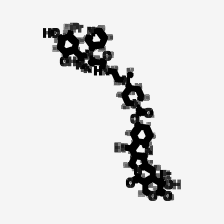 CCc1c2c(nc3ccc(OC(=O)N4CCC(N(C)CCNC(=O)c5nnc(-c6cc(C(C)C)c(O)cc6O)n5-c5cccnc5)CC4)cc13)-c1cc3c(c(=O)n1C2)COC(=O)C3(O)CC